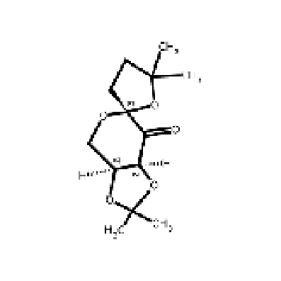 CC1(C)CC[C@@]2(OC[C@@H]3OC(C)(C)O[C@@H]3C2=O)O1